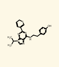 CC(C)n1cnc2c(NCCc3ccc(O)cc3)nc(C3=CSCC=C3)nc21